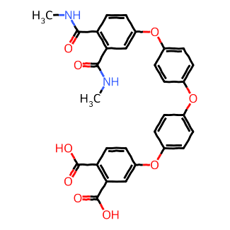 CNC(=O)c1ccc(Oc2ccc(Oc3ccc(Oc4ccc(C(=O)O)c(C(=O)O)c4)cc3)cc2)cc1C(=O)NC